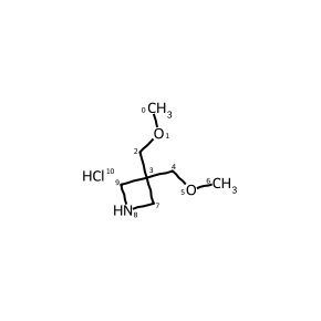 COCC1(COC)CNC1.Cl